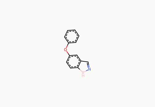 B1N=Cc2cc(Oc3ccccc3)ccc21